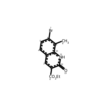 CCOC(=O)c1cc2ccc(Br)c(C)c2[nH]c1=O